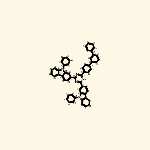 C1=Cc2c(c3ccc(-c4nc(-c5ccc(-c6cccc(-c7ccccc7)c6)cc5)nc(-c5ccc6c7ccccc7n(-c7ccccc7)c6c5)n4)cc3n2-c2ccccc2)CC1